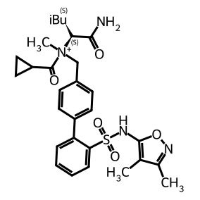 CC[C@H](C)[C@@H](C(N)=O)[N+](C)(Cc1ccc(-c2ccccc2S(=O)(=O)Nc2onc(C)c2C)cc1)C(=O)C1CC1